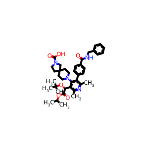 Cc1nc(C)c(C(OC(C)(C)C)C(=O)OC(C)C)c(N2CCC3(CCN(C(=O)O)C3)CC2)c1-c1ccc(C(=O)NCc2ccccc2)cc1